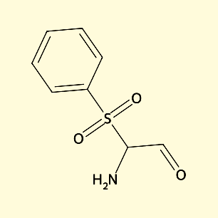 NC(C=O)S(=O)(=O)c1ccccc1